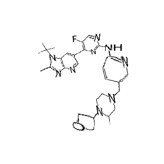 Cc1nc2ncc(-c3nc(Nc4ccc(CN5CCN(C6COC6)C(C)C5)cn4)ncc3F)cc2n1C(C)(C)C